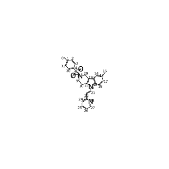 Cc1ccc(S(=O)(=O)N2CCc3c(c4cc(C)ccc4n3C=Cc3ccccn3)C2)cc1